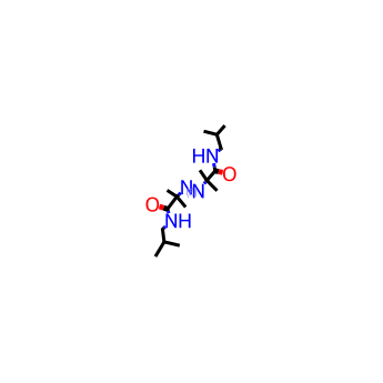 CC(C)CNC(=O)C(C)(C)/N=N/C(C)(C)C(=O)NCC(C)C